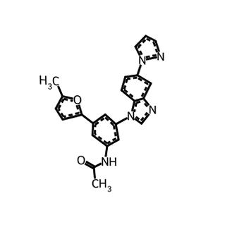 CC(=O)Nc1cc(-c2ccc(C)o2)cc(-n2cnc3cc(-n4cccn4)ccc32)c1